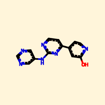 Oc1cc(-c2ccnc(Nc3cncnc3)n2)ccn1